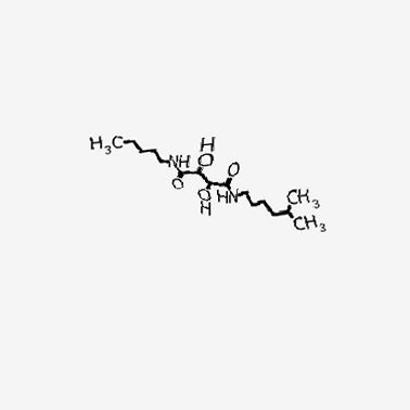 CCCCCNC(=O)C(O)C(O)C(=O)NCCCCC(C)C